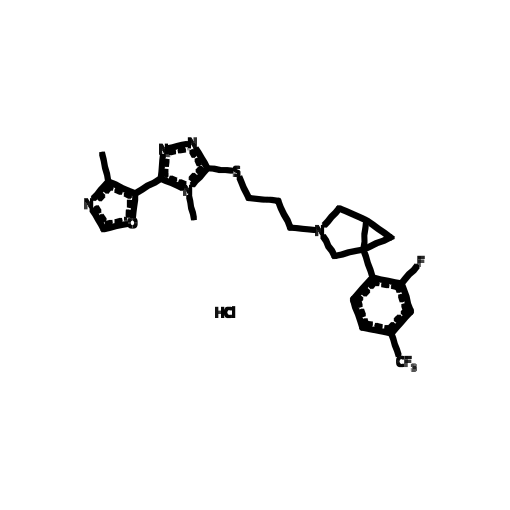 Cc1ncoc1-c1nnc(SCCCN2CC3CC3(c3ccc(C(F)(F)F)cc3F)C2)n1C.Cl